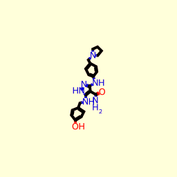 NC(=O)c1c(Nc2ccc(CN3CCCC3)cc2)n[nH]c1NCc1ccc(O)cc1